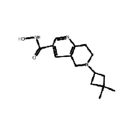 CC1(C)CC(N2CCc3ncc(C(=O)NO)cc3C2)C1